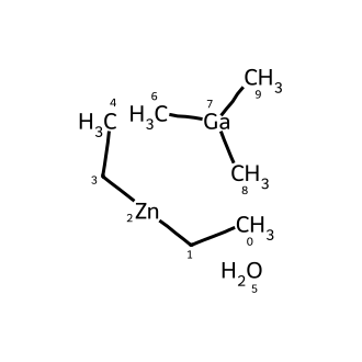 C[CH2][Zn][CH2]C.O.[CH3][Ga]([CH3])[CH3]